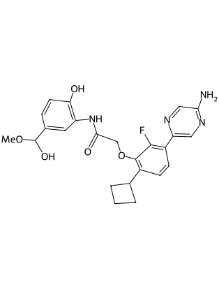 COC(O)c1ccc(O)c(NC(=O)COc2c(C3CCC3)ccc(-c3cnc(N)cn3)c2F)c1